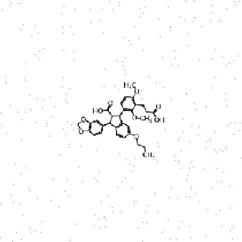 CCCOc1ccc2c(c1)C(c1ccc(OC)c(CCC(=O)O)c1OC)C(C(=O)O)C2c1ccc2c(c1)OCO2